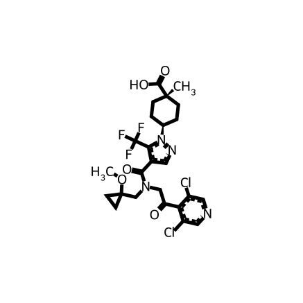 COC1(CN(CC(=O)c2c(Cl)cncc2Cl)C(=O)c2cnn([C@H]3CC[C@](C)(C(=O)O)CC3)c2C(F)(F)F)CC1